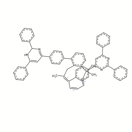 C\C1=C(c2ccc(-c3cc(-c4ccccc4)nc(-c4ccccc4)n3)cc2)/C=C\C=C\C(C)(C)c2cccc(-c3ccc(C4=NC(c5ccccc5)NC(c5ccccc5)=C4)cc3)c2C1